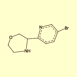 Brc1ccc(C2COCCN2)nc1